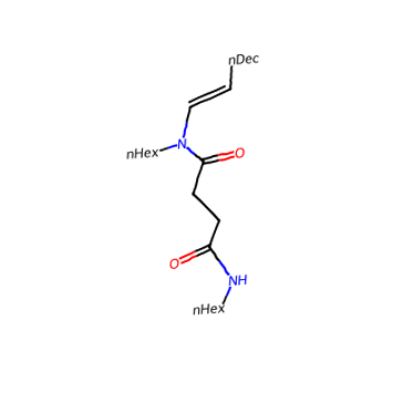 CCCCCCCCCCC=CN(CCCCCC)C(=O)CCC(=O)NCCCCCC